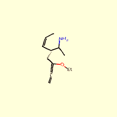 C=C=C(C[C@H](/C=C\C)C(C)N)OCC